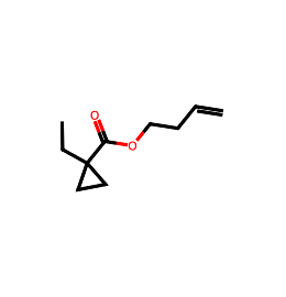 C=CCCOC(=O)C1(CC)CC1